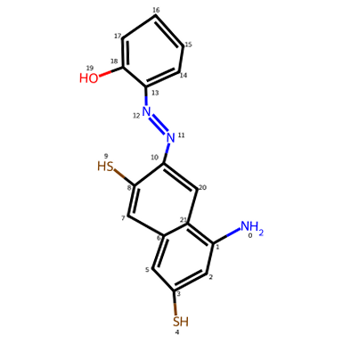 Nc1cc(S)cc2cc(S)c(/N=N/c3ccccc3O)cc12